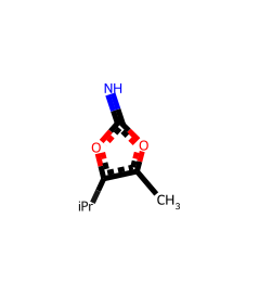 Cc1oc(=N)oc1C(C)C